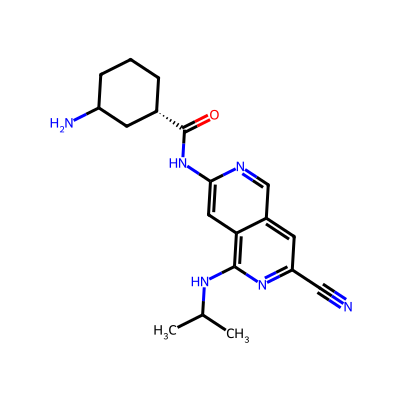 CC(C)Nc1nc(C#N)cc2cnc(NC(=O)[C@H]3CCCC(N)C3)cc12